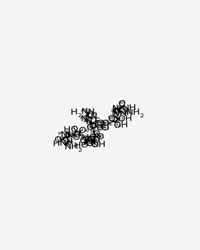 CO[C@@H]1[C@H](O)[C@@H](n2c[n+](C)c3c(=O)[nH]c(N)nc32)O[C@H]1COP(=O)(O)OP(=O)(O)OP(=O)(O)OC[C@H]1O[C@@H](n2cnc3c(N)ncnc32)[C@H](F)[C@@H]1OP(=O)(O)OC[C@H]1O[C@@H](n2cnc3c(=O)[nH]c(N)nc32)[C@H](O)[C@@H]1O